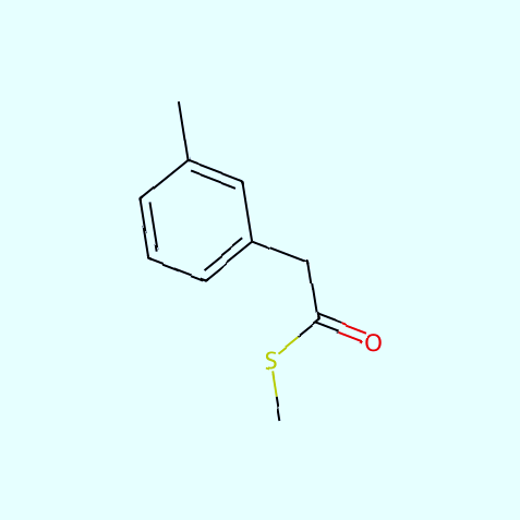 CSC(=O)Cc1cccc(C)c1